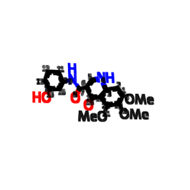 COc1cc2[nH]cc(C(=O)Nc3cccc(O)c3)c(=O)c2c(OC)c1OC